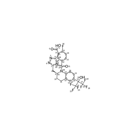 O=C(O)Cc1nnc(C[C@@H]2CCc3cc(C(O)(C(F)(F)F)C(F)(F)F)ccc3N2S(=O)(=O)c2ccc(F)cc2)o1